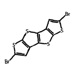 Brc1cc2c(s1)sc1c3cc(Br)sc3sc21